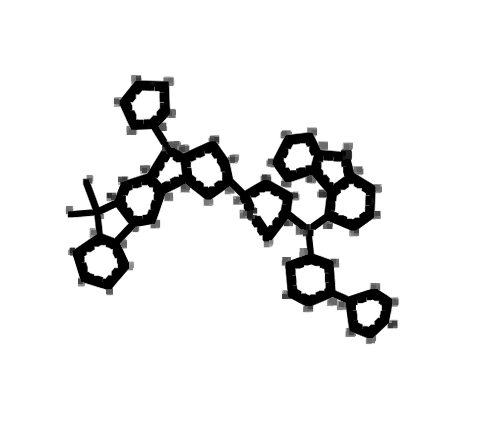 CC1(C)c2ccccc2-c2cc3c4cc(-c5ccc(N(c6cccc(-c7ccccc7)c6)c6cccc7oc8ccccc8c67)cc5)ccc4n(-c4ccccc4)c3cc21